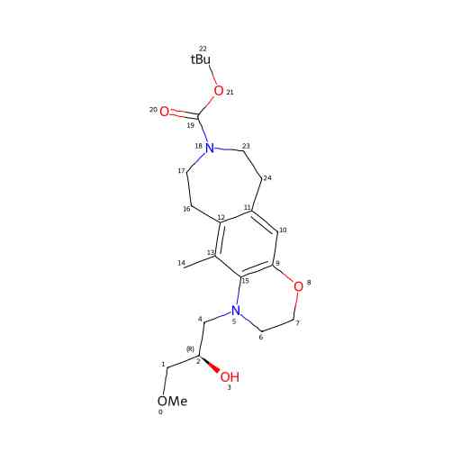 COC[C@H](O)CN1CCOc2cc3c(c(C)c21)CCN(C(=O)OC(C)(C)C)CC3